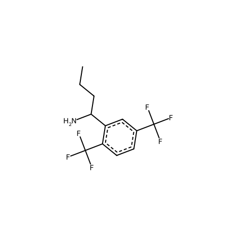 CCCC(N)c1cc(C(F)(F)F)ccc1C(F)(F)F